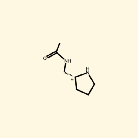 CC(=O)NC[C@H]1CCCN1